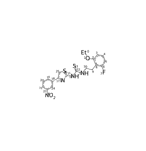 CCOc1cccc(F)c1CCNC(=S)Nc1nc(-c2cccc([N+](=O)[O-])c2)cs1